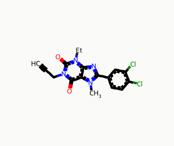 C#CCn1c(=O)c2c(nc(-c3ccc(Cl)c(Cl)c3)n2C)n(CC)c1=O